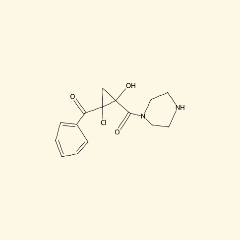 O=C(N1CCNCC1)C1(O)CC1(Cl)C(=O)c1ccccc1